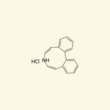 Cl.c1ccc2c(c1)cc[nH]ccc1ccccc12